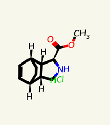 COC(=O)[C@H]1NC[C@H]2[C@@H]1[C@H]1C=C[C@@H]2CC1.Cl